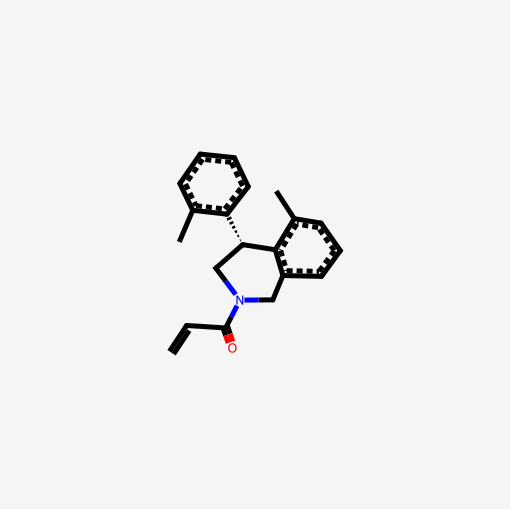 C=CC(=O)N1Cc2cccc(C)c2[C@@H](c2ccccc2C)C1